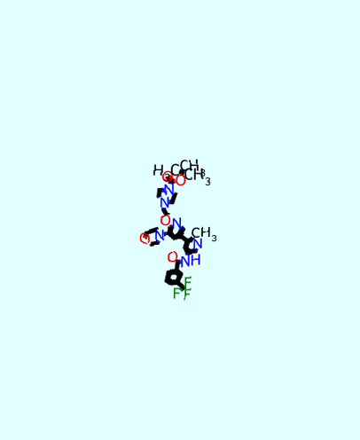 Cc1ncc(NC(=O)c2cccc(C(F)(F)F)c2)cc1-c1cnc(OCCN2CCN(C(=O)OC(C)(C)C)CC2)c(N2CCOCC2)c1